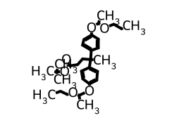 CCCOC(C)Oc1ccc(C(C)(CCC(=O)OC(C)(C)C)c2ccc(OC(C)OCCC)cc2)cc1